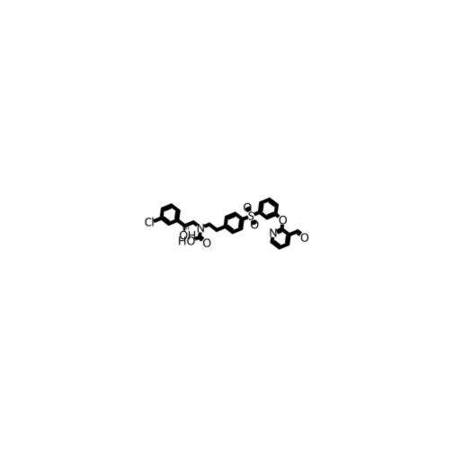 O=Cc1cccnc1Oc1cccc(S(=O)(=O)c2ccc(CCN(C[C@@H](O)c3cccc(Cl)c3)C(=O)O)cc2)c1